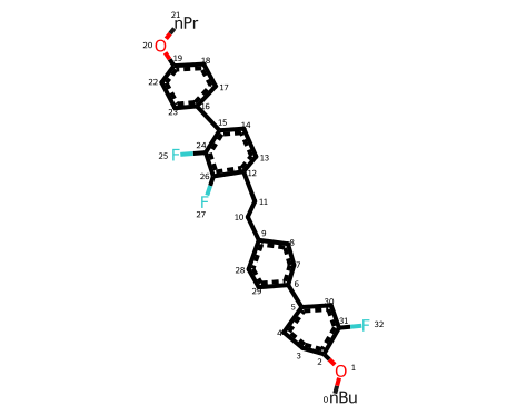 CCCCOc1ccc(-c2ccc(CCc3ccc(-c4ccc(OCCC)cc4)c(F)c3F)cc2)cc1F